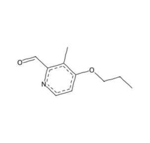 CCCOc1ccnc(C=O)c1C